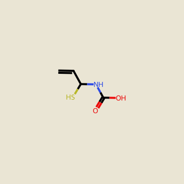 C=CC(S)NC(=O)O